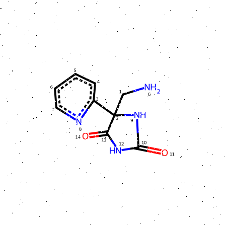 NCC1(c2ccccn2)NC(=O)NC1=O